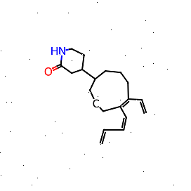 C=C/C=C\C1=C(/C=C)CCCC(C2CCNC(=O)C2)CCC1